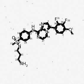 COc1ccc(-c2cnc3c(Nc4ccc(S(C)(=O)=NCCCN)cc4)nccn23)c(F)c1F